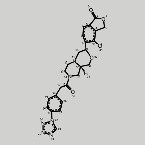 O=C1OCc2c1ccc([C@@H]1CN3CCN(C(=O)Cc4ccc(-n5cnnn5)cc4)C[C@H]3CO1)c2Cl